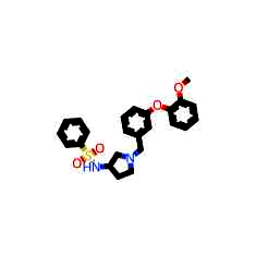 COc1ccccc1Oc1cccc(CN2CCC(NS(=O)(=O)c3ccccc3)C2)c1